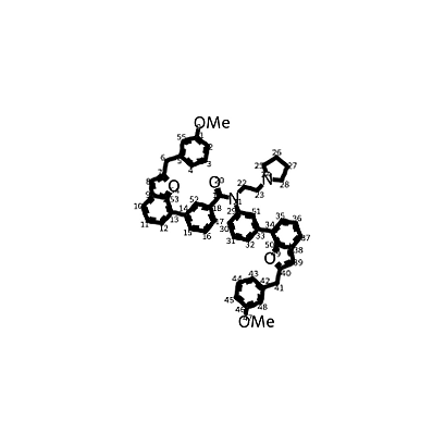 COc1cccc(Cc2cc3cccc(-c4cccc(C(=O)N(CCN5CCCC5)c5cccc(-c6cccc7cc(Cc8cccc(OC)c8)oc67)c5)c4)c3o2)c1